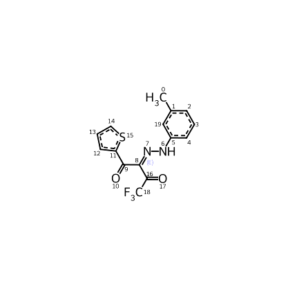 Cc1cccc(N/N=C(/C(=O)c2cccs2)C(=O)C(F)(F)F)c1